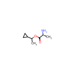 CC(OC(=O)[C@H](C)N)C1CC1